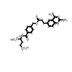 Nc1nc(N)c2cc(CCC(=O)OCc3ccc(C(=O)NC(CCC(=O)O)C(=O)O)cc3)ccc2n1